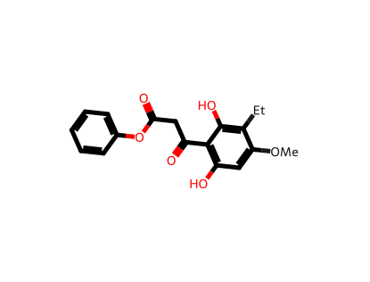 CCc1c(OC)cc(O)c(C(=O)CC(=O)Oc2ccccc2)c1O